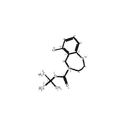 CC(C)(C)OC(=O)N1CCSc2cccc(Cl)c2C1